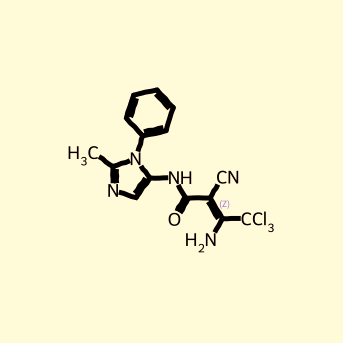 Cc1ncc(NC(=O)/C(C#N)=C(\N)C(Cl)(Cl)Cl)n1-c1ccccc1